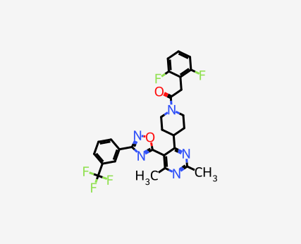 Cc1nc(C)c(-c2nc(-c3cccc(C(F)(F)F)c3)no2)c(C2CCN(C(=O)Cc3c(F)cccc3F)CC2)n1